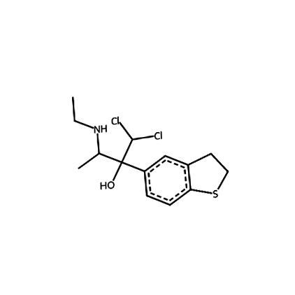 CCNC(C)C(O)(c1ccc2c(c1)CCS2)C(Cl)Cl